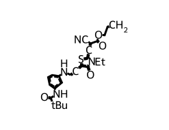 C=CCOC(=O)C(=C=c1sc(=C=CNc2cccc(NC(=O)C(C)(C)C)c2)c(=O)n1CC)C#N